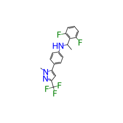 CC(Nc1ccc(-c2cc(C(F)(F)F)nn2C)cc1)c1c(F)cccc1F